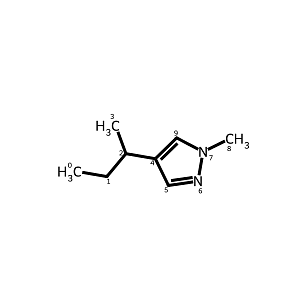 CCC(C)c1cnn(C)c1